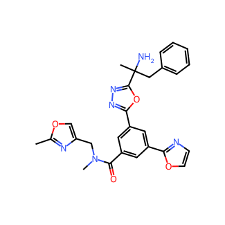 Cc1nc(CN(C)C(=O)c2cc(-c3ncco3)cc(-c3nnc(C(C)(N)Cc4ccccc4)o3)c2)co1